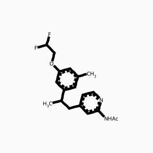 CC(=O)Nc1cc(CC(C)c2cc(C)cc(OCC(F)F)c2)ccn1